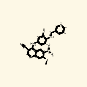 COc1cc2ncc(C#N)c(Nc3ccc(NCc4cccnc4)c(Cl)c3)c2cc1[N+](=O)[O-]